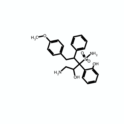 COc1ccc(CC(c2ccccc2)C(c2ccccc2O)(C(O)CN)S(N)(=O)=O)cc1